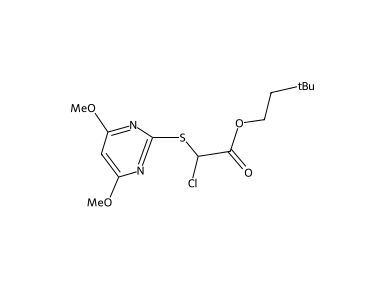 COc1cc(OC)nc(SC(Cl)C(=O)OCCC(C)(C)C)n1